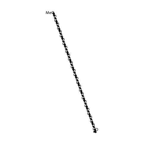 C=C(C)C(=O)OCCOCCOCCOCCOCCOCCOCCOCCOCCOCCOCCOCCOCCOCCOCCOCCOCCOCCOCCOCCOCCOCCOCCOCCOCCOCCOCCOCCOCCOCCOC